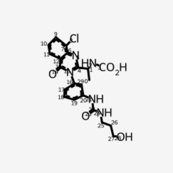 CC(NC(=O)O)c1nc2c(Cl)cccc2c(=O)n1-c1cccc(NC(=O)NCCCO)c1